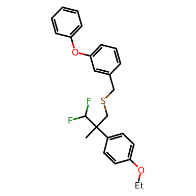 CCOc1ccc(C(C)(CSCc2cccc(Oc3ccccc3)c2)C(F)F)cc1